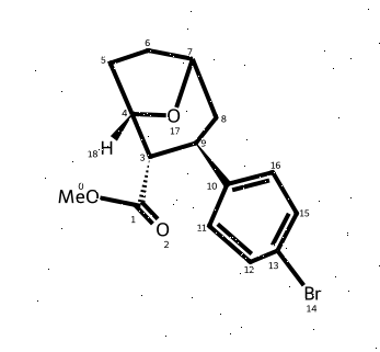 COC(=O)[C@@H]1[C@@H]2CCC(C[C@H]1c1ccc(Br)cc1)O2